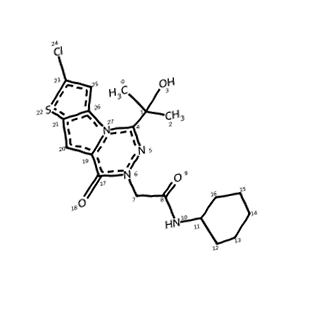 CC(C)(O)c1nn(CC(=O)NC2CCCCC2)c(=O)c2cc3sc(Cl)cc3n12